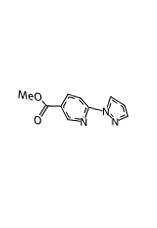 COC(=O)c1ccc(-n2cccn2)nc1